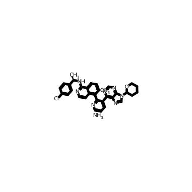 Cc1ccc2c(N[C@H](C)c3ccc(Cl)cc3)nccc2c1-c1ncccc1-c1ncnc2c1ncn2C1CCCCO1.N